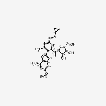 Cc1nc(NCC2CC2)nc(N[C@@H]2C[C@H](CO)[C@@H](O)[C@H]2O)c1-c1cc2cc(OC(C)C)nc(C)c2o1